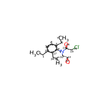 CCc1ccc(CC)c(N(CC=O)C(=O)CCl)c1CC